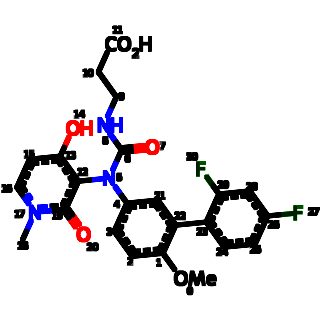 COc1ccc(N(C(=O)NCCC(=O)O)c2c(O)ccn(C)c2=O)cc1-c1ccc(F)cc1F